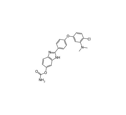 CN(C)c1cc(Oc2ccc(-c3nc4ccc(OC(N)=O)cc4[nH]3)cc2)ccc1Cl